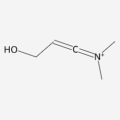 C[N+](C)=C=CCO